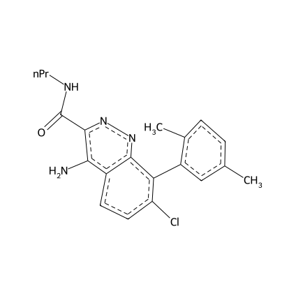 CCCNC(=O)c1nnc2c(-c3cc(C)ccc3C)c(Cl)ccc2c1N